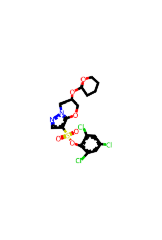 O=S(=O)(Oc1c(Cl)cc(Cl)cc1Cl)c1cnn2c1OCC(OC1CCCCO1)C2